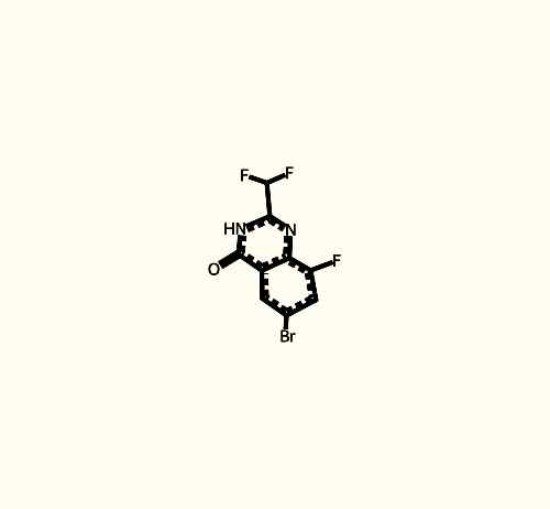 O=c1[nH]c(C(F)F)nc2c(F)cc(Br)cc12